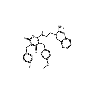 COc1ccc(Cn2c(NCCN3Cc4ccccc4N=C3N)nc(=O)n(Cc3ccc(F)cc3)c2=O)cc1